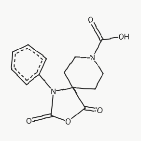 O=C(O)N1CCC2(CC1)C(=O)OC(=O)N2c1ccccc1